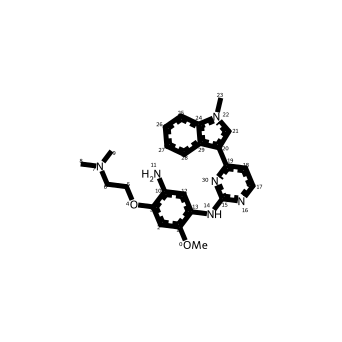 COc1cc(OCCN(C)C)c(N)cc1Nc1nccc(-c2cn(C)c3ccccc23)n1